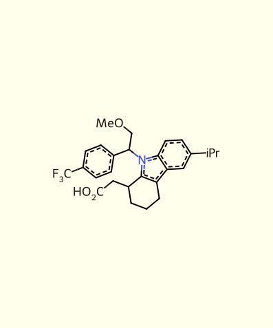 COCC(c1ccc(C(F)(F)F)cc1)n1c2c(c3cc(C(C)C)ccc31)CCCC2CC(=O)O